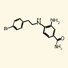 NC(=O)c1ccc(NCCc2ccc(Br)cc2)c(N)c1